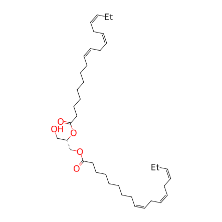 CC/C=C\C/C=C\C/C=C\CCCCCCCC(=O)OC[C@H](CO)OC(=O)CCCCCCC/C=C\C/C=C\C/C=C\CC